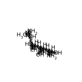 Cc1nc(N)nc(NCCCCNc2nc(C)nc(NCNc3nc(NCO)nc(NCNc4nc(N)nc(NCO)n4)n3)n2)n1